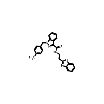 Cc1ccc(Cn2nc(C(=O)NCCc3nc4ccccc4o3)c3ccccc32)cc1